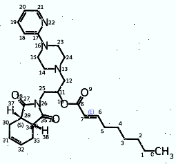 CCCCCC/C=C/C(=O)OC(CN1CCN(c2ccccn2)CC1)CN1C(=O)[C@H]2CC=CC[C@H]2C1=O